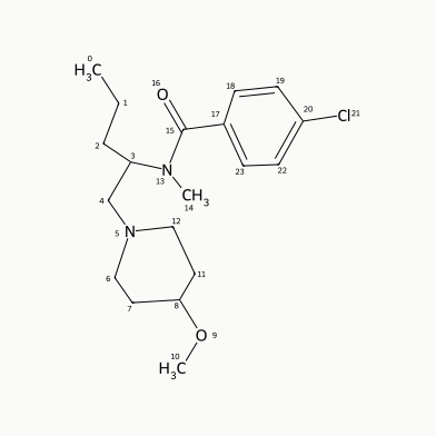 CCCC(CN1CCC(OC)CC1)N(C)C(=O)c1ccc(Cl)cc1